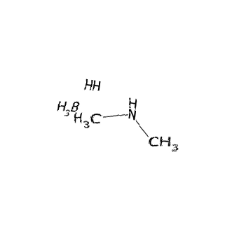 B.CNC.[HH]